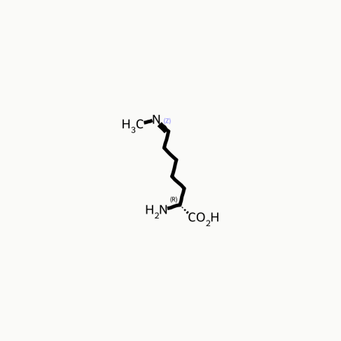 C/N=C\CCCC[C@@H](N)C(=O)O